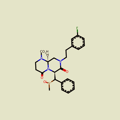 C[S+]([O-])C(c1ccccc1)[C@@H]1C(=O)N(CCc2cccc(F)c2)C[C@@H]2N(C(=O)O)CCC(=O)N21